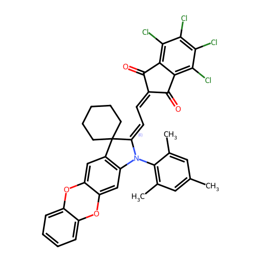 Cc1cc(C)c(N2/C(=C/C=C3C(=O)c4c(Cl)c(Cl)c(Cl)c(Cl)c4C3=O)C3(CCCCC3)c3cc4c(cc32)Oc2ccccc2O4)c(C)c1